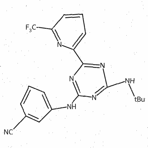 CC(C)(C)Nc1nc(Nc2cccc(C#N)c2)nc(-c2cccc(C(F)(F)F)n2)n1